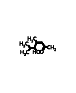 CC(=O)C=C(C)C(O)C(C)C